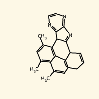 Cc1cc(C)c2c(C)cc3c4c2c1C1C(=Nc2nccnc21)C4C=CC3